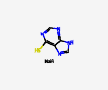 Sc1ncnc2[nH]cnc12.[NaH]